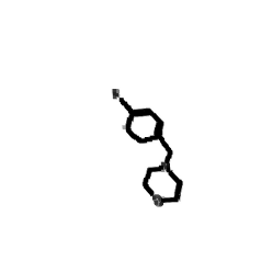 FC1=CC=C(CN2CCOCC2)C[CH]1